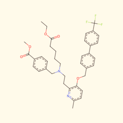 CCOC(=O)CCCCN(CCc1nc(C)ccc1OCc1ccc(-c2ccc(C(F)(F)F)cc2)cc1)Cc1ccc(C(=O)OC)cc1